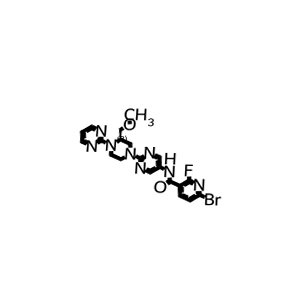 COC[C@H]1CN(c2ncc(NC(=O)c3ccc(Br)nc3F)cn2)CCN1c1ncccn1